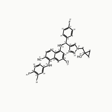 N#Cc1cnc2c(N[C@@H](c3ccc(F)cc3)c3cn(CC4(O)CC4)nn3)cc(Cl)cc2c1Nc1cnc(F)c(F)c1